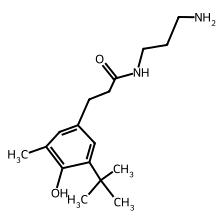 Cc1cc(CCC(=O)NCCCN)cc(C(C)(C)C)c1O